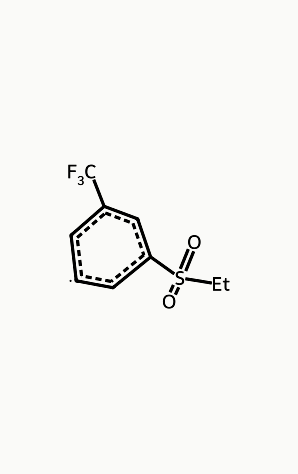 CCS(=O)(=O)c1c[c]cc(C(F)(F)F)c1